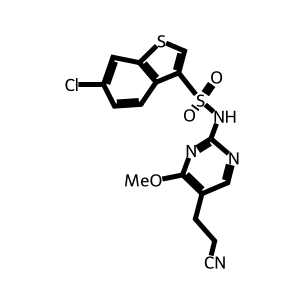 COc1nc(NS(=O)(=O)c2csc3cc(Cl)ccc23)ncc1CCC#N